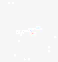 NCCN(O)CCCC(=O)O